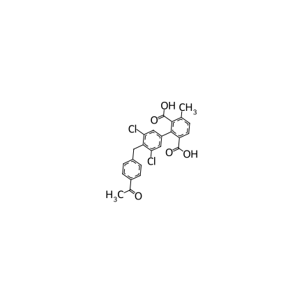 CC(=O)c1ccc(Cc2c(Cl)cc(-c3c(C(=O)O)ccc(C)c3C(=O)O)cc2Cl)cc1